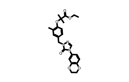 CCOC(=O)C(C)(C)Oc1ccc(Cn2ncn(-c3ccc4c(c3)OCCO4)c2=O)cc1C